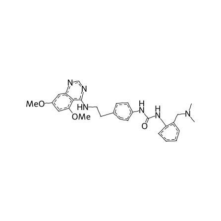 COc1cc(OC)c2c(NCCc3ccc(NC(=O)Nc4ccccc4CN(C)C)cc3)ncnc2c1